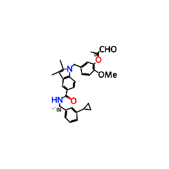 COc1ccc(Cn2c(C)c(C)c3cc(C(=O)N[C@@H](C)c4cccc(C5CC5)c4)ccc32)cc1O[C@@H](C)C=O